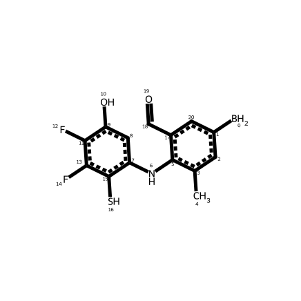 Bc1cc(C)c(Nc2cc(O)c(F)c(F)c2S)c(C=O)c1